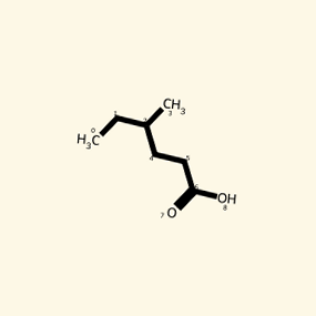 CC[C](C)CCC(=O)O